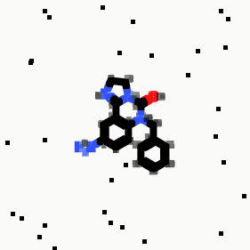 Nc1ccc2c(c1)C1=NCCN1C(=O)N2Cc1ccccc1